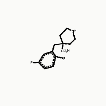 O=C(O)C1(Cc2cc(F)ccc2F)CCNCC1